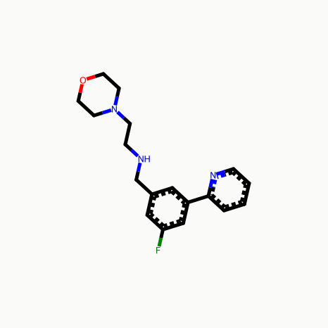 Fc1cc(CNCCN2CCOCC2)cc(-c2ccccn2)c1